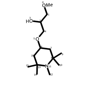 COCC(O)COC1CC(C)(C)N(C)C(C)(C)C1